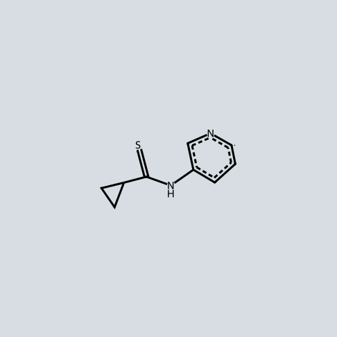 S=C(Nc1cc[c]nc1)C1CC1